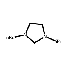 CCCCN1[C]N(C(C)C)CC1